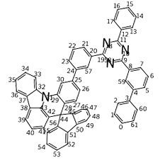 c1ccc(-c2cccc(-c3nc(-c4ccccc4)nc(-c4cccc(-c5ccc6c(c5)-n5c7ccccc7c7cccc(c75)C65c6ccccc6-c6ccccc65)c4)n3)c2)cc1